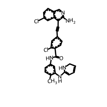 Cc1ccc(NC(=O)c2ccc(C#Cc3c(N)ncc4ccc(Cl)cc34)cc2Cl)cc1NC1=CC=CCN1